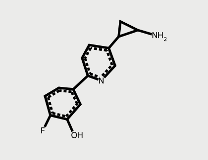 NC1CC1c1ccc(-c2ccc(F)c(O)c2)nc1